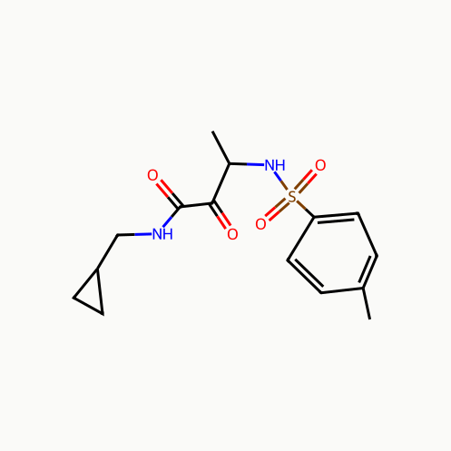 Cc1ccc(S(=O)(=O)NC(C)C(=O)C(=O)NCC2CC2)cc1